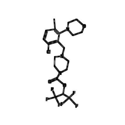 Cc1ccc(Cl)c(CN2CCN(C(=O)OC(C(F)(F)F)C(F)(F)F)CC2)c1N1CCOCC1